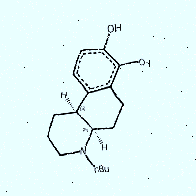 CCCCN1CCC[C@H]2c3ccc(O)c(O)c3CC[C@H]21